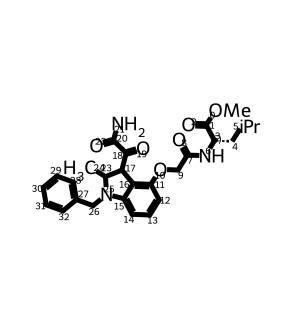 COC(=O)[C@H](CC(C)C)NC(=O)COc1cccc2c1C(C(=O)C(N)=O)C(C)N2Cc1ccccc1